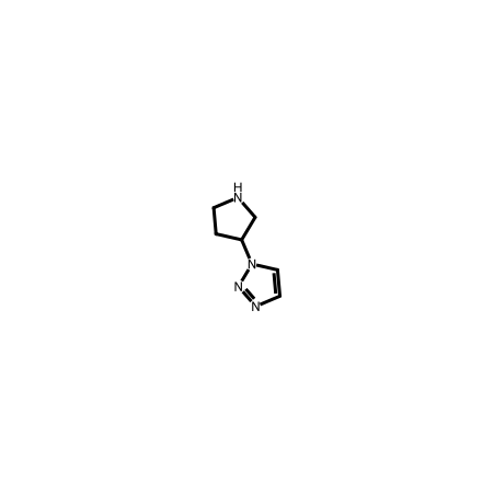 c1cn(C2CCNC2)nn1